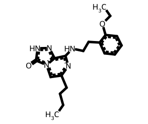 CCCCc1cn2c(=O)[nH]nc2c(NCCc2ccccc2OCC)n1